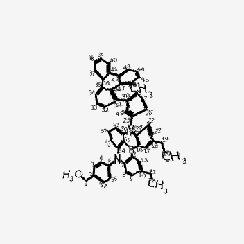 CCc1ccc(N2c3ccc(CC)cc3B3c4cc(CC)ccc4N(c4ccc(C)c(-c5cccc6c7ccccc7c7ccccc7c56)c4)c4cccc2c43)cc1